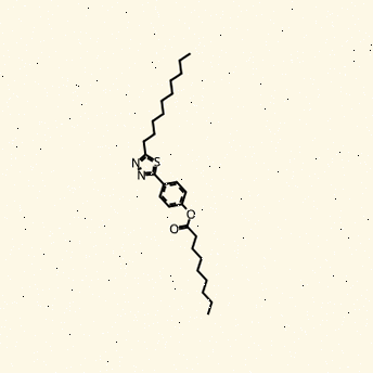 CCCCCCCCCCc1nnc(-c2ccc(OC(=O)CCCCCCCC)cc2)s1